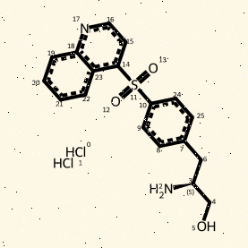 Cl.Cl.N[C@H](CO)Cc1ccc(S(=O)(=O)c2ccnc3ccccc23)cc1